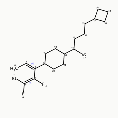 C/C=C(\C(F)=C(\F)CC)C1CCC(C(CC)CCCC2CCC2)CC1